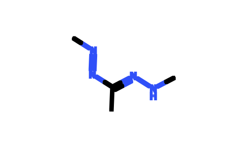 CN=NC(C)=NNC